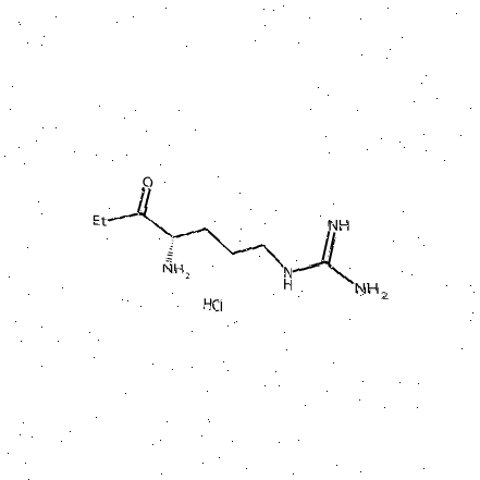 CCC(=O)[C@@H](N)CCCNC(=N)N.Cl